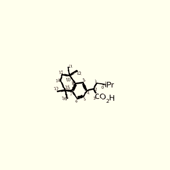 CC(C)CC(C(=O)O)c1ccc2c(c1)C(C)(C)CCC2(C)C